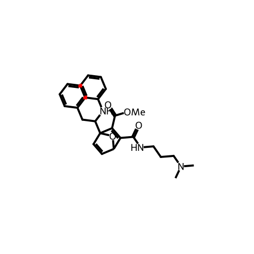 COC(=O)C1=C(C(=O)NCCCN(C)C)C2C=CC1(C(Cc1ccccc1)Nc1ccccc1)O2